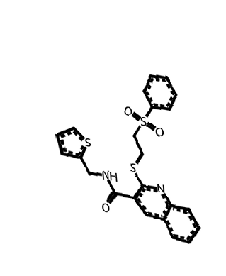 O=C(NCc1cccs1)c1cc2ccccc2nc1SCCS(=O)(=O)c1ccccc1